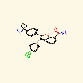 Cl.Cl.NC(=O)c1cccc2c(-c3ccccc3)c(-c3ccc(C4(N)CCC4)cc3)oc12